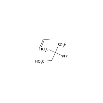 C=CC.CCCC(CC(=O)O)(C(=O)O)S(=O)(=O)O